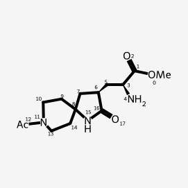 COC(=O)[C@@H](N)C[C@@H]1CC2(CCN(C(C)=O)CC2)NC1=O